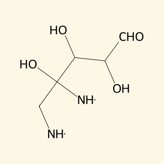 [NH]CC([NH])(O)C(O)C(O)C=O